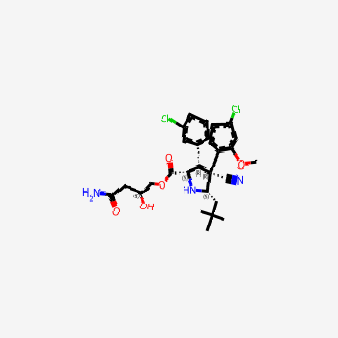 COc1cc(Cl)ccc1[C@@]1(C#N)[C@H](CC(C)(C)C)N[C@H](C(=O)OC[C@@H](O)CC(N)=O)[C@@H]1c1cccc(Cl)c1